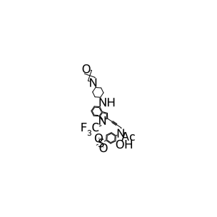 CC(=O)N(CC#Cc1cc2c(NC3CCC(N4CC5(COC5)C4)CC3)cccc2n1CC(F)(F)F)c1ccc(S(C)(=O)=O)cc1O